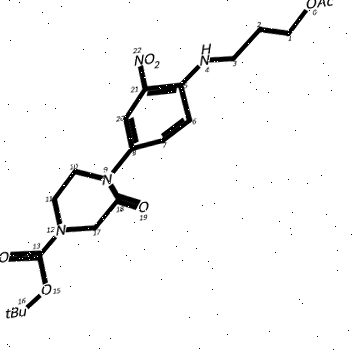 CC(=O)OCCCNc1ccc(N2CCN(C(=O)OC(C)(C)C)CC2=O)cc1[N+](=O)[O-]